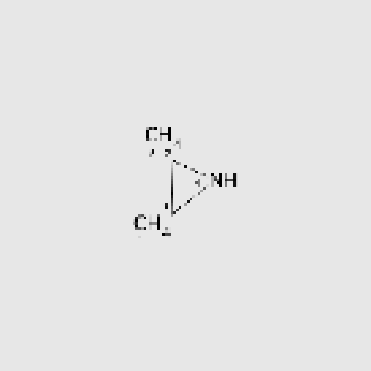 C.C.C1CN1